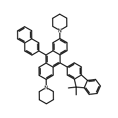 CC1(C)c2ccccc2-c2ccc(-c3c4ccc(N5CCCCC5)cc4c(-c4ccc5ccccc5c4)c4ccc(N5CCCCC5)cc34)cc21